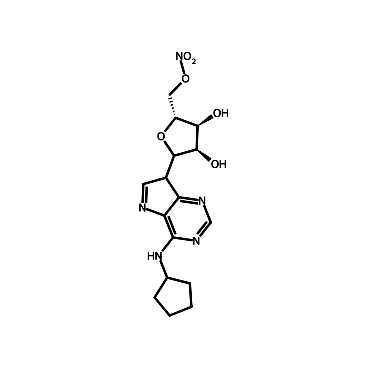 O=[N+]([O-])OC[C@H]1OC(C2C=Nc3c(NC4CCCC4)ncnc32)[C@H](O)[C@@H]1O